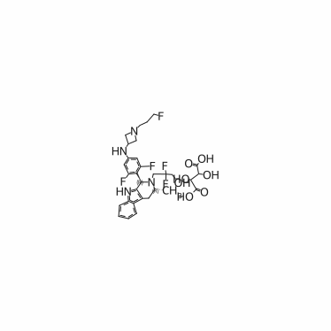 C[C@@H]1Cc2c([nH]c3ccccc23)[C@@H](c2c(F)cc(NC3CN(CCCF)C3)cc2F)N1CC(F)(F)CO.O=C(O)C(O)C(O)C(=O)O